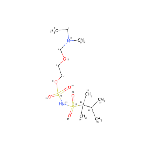 CCN(C)COCCOS(=O)(=O)NS(=O)(=O)C(C)(C)C(C)C